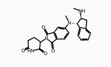 CN[C@H]1Cc2ccccc2[C@@H]1N(C)c1ccc2c(c1)C(=O)N(C1CCC(=O)NC1=O)C2=O